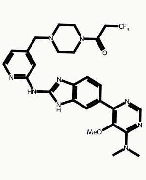 COc1c(-c2ccc3nc(Nc4cc(CN5CCN(C(=O)CC(F)(F)F)CC5)ccn4)[nH]c3c2)ncnc1N(C)C